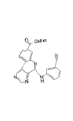 C#Cc1cccc(Nc2nc3cc(C(=O)OC)ccc3c3cncnc23)c1